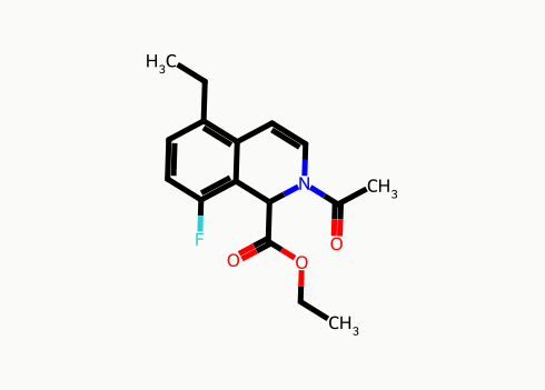 CCOC(=O)C1c2c(F)ccc(CC)c2C=CN1C(C)=O